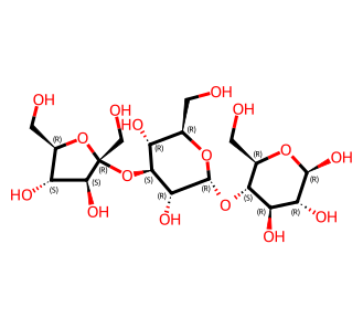 OC[C@H]1O[C@](CO)(O[C@@H]2[C@@H](O)[C@@H](O[C@H]3[C@H](O)[C@@H](O)[C@H](O)O[C@@H]3CO)O[C@H](CO)[C@H]2O)[C@@H](O)[C@@H]1O